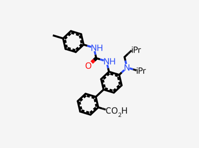 Cc1ccc(NC(=O)Nc2cc(-c3ccccc3C(=O)O)ccc2N(CC(C)C)C(C)C)cc1